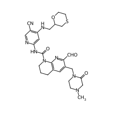 CN1CCN(Cc2cc3c(nc2C=O)N(C(=O)Nc2cc(NCC4CSCCO4)c(C#N)cn2)CCC3)C(=O)C1